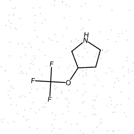 FC(F)(F)OC1C[CH]NC1